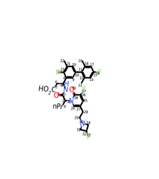 CCCC(C(=O)N[C@@H](CC(=O)O)c1cc(-c2c(C)cc(F)cc2C)cc(C)c1F)n1cc(CCN2CC(F)C2)cc(F)c1=O